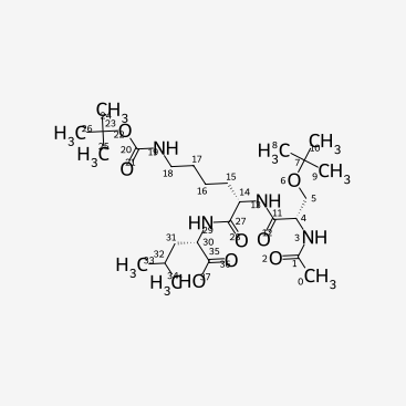 CC(=O)N[C@@H](COC(C)(C)C)C(=O)N[C@@H](CCCCNC(=O)OC(C)(C)C)C(=O)N[C@@H](CC(C)C)C(=O)O